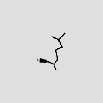 CC(C)CCCN(C)C#N